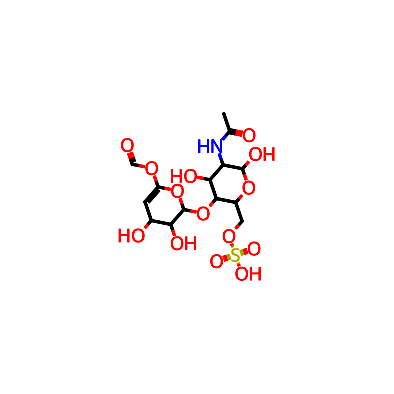 CC(=O)NC1C(O)OC(COS(=O)(=O)O)C(OC2OC(OC=O)=CC(O)C2O)C1O